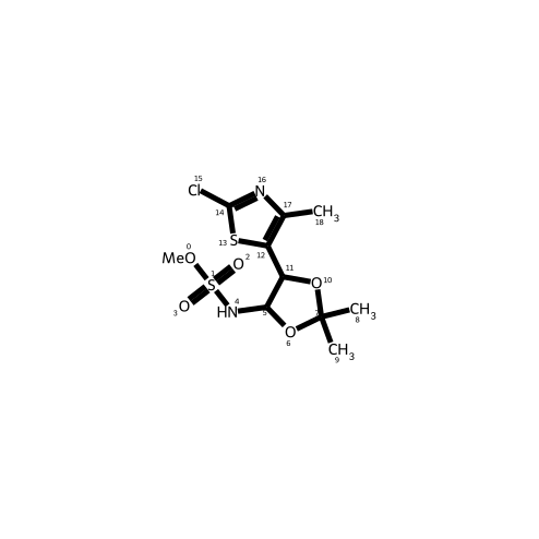 COS(=O)(=O)NC1OC(C)(C)OC1c1sc(Cl)nc1C